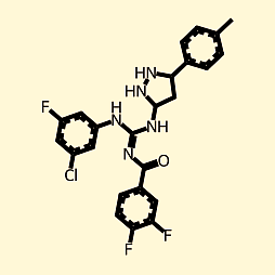 Cc1ccc(C2CC(N/C(=N\C(=O)c3ccc(F)c(F)c3)Nc3cc(F)cc(Cl)c3)NN2)cc1